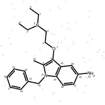 CCN(CC)CCOc1c(C)n(Cc2ccccc2)c2ccc(N)cc12